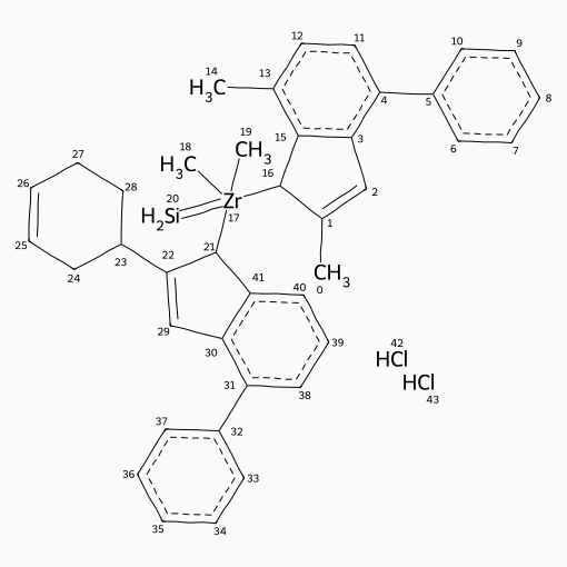 CC1=Cc2c(-c3ccccc3)ccc(C)c2[CH]1[Zr]([CH3])([CH3])(=[SiH2])[CH]1C(C2CC=CCC2)=Cc2c(-c3ccccc3)cccc21.Cl.Cl